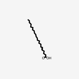 CCCCCCCCCCCCCCCCCC=CCCCC(=O)O